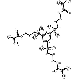 C=C(C)C(=O)OCCC[Si](C)(C)c1cc([Si](C)(C)CCCOC(=O)C(=C)C)cc([Si](C)(C)CCCOC(=O)C(=C)C)c1